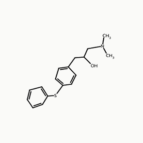 CN(C)CC(O)Cc1ccc(Sc2ccccc2)cc1